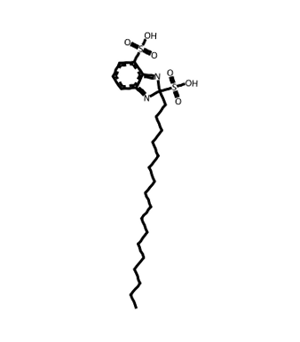 CCCCCCCCCCCCCCCCCC1(S(=O)(=O)O)N=c2cccc(S(=O)(=O)O)c2=N1